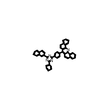 c1ccc(-c2nc(-c3ccc(-c4c5ccc6ccccc6c5nc5c4ccc4ccccc45)cc3)nc(-c3ccc4ccccc4c3)n2)cc1